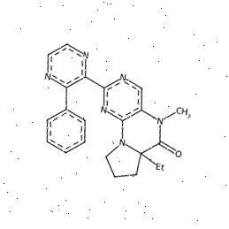 CCC12CCCN1c1nc(-c3nccnc3-c3ccccc3)ncc1N(C)C2=O